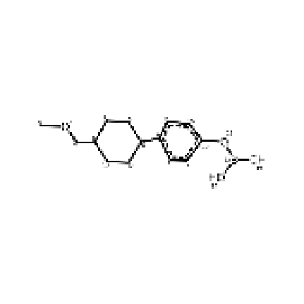 COCC1CCC(c2ccc(OB(O)O)cc2)CC1